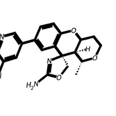 C[C@H]1OCCC2Oc3ccc(-c4cncc(Cl)c4)cc3[C@@]3(COC(N)=N3)[C@@H]21